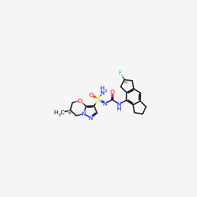 C[C@H]1COc2c(S(N)(=O)=NC(=O)Nc3c4c(cc5c3C[C@@H](F)C5)CCC4)cnn2C1